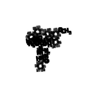 COc1ccc(C(NC[C@H]2O[C@@H](n3cnc4c(NC(=O)c5ccccc5)ncnc43)[C@H](OC)[C@@H]2O[Si](c2ccccc2)(c2ccccc2)C(C)(C)C)(c2ccccc2)c2ccccc2)cc1